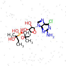 CCC(C)(O)P(=O)(O)OC(C)(C)C[C@H]1O[C@@H](n2cnc3c(Cl)nc(N)nc32)[C@H](O)[C@@H]1O